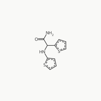 NC(=O)C(Nc1cccs1)c1cccs1